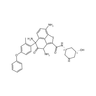 Cc1cc(Oc2ccccc2)ccc1C1(N)C(=O)C(N)c2c(C(=O)N[C@H]3CNC[C@@H](O)C3)sc3c(N)ccc1c23